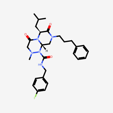 CC(C)C[C@H]1C(=O)N(CCCc2ccccc2)C[C@H]2N1C(=O)CN(C)N2C(=O)NCc1ccc(F)cc1